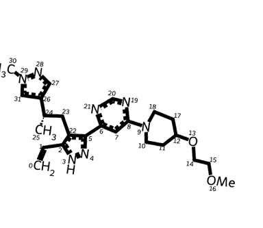 C=Cc1[nH]nc(-c2cc(N3CCC(OCCOC)CC3)ncn2)c1C[C@H](C)c1cnn(C)c1